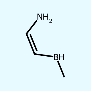 CB/C=C\N